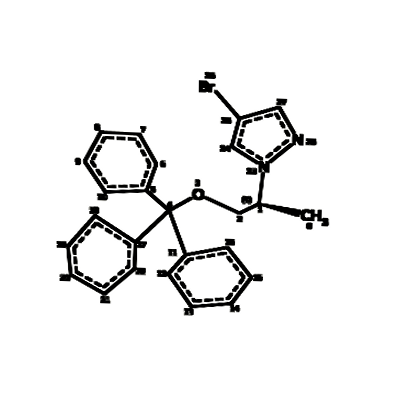 C[C@@H](COC(c1ccccc1)(c1ccccc1)c1ccccc1)n1cc(Br)cn1